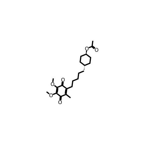 COC1=C(OC)C(=O)C(CCCCC[C@H]2CC[C@H](OC(C)=O)CC2)=C(C)C1=O